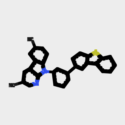 N#Cc1ccc2c(c1)c1cc(C#N)cnc1n2-c1cccc(-c2ccc3sc4ccccc4c3c2)c1